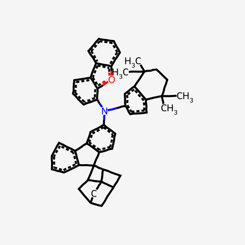 CC1(C)CCC(C)(C)c2cc(N(c3ccc4c(c3)-c3ccccc3C43C4CC5CC6CC3C64C5)c3cccc4c3oc3ccccc34)ccc21